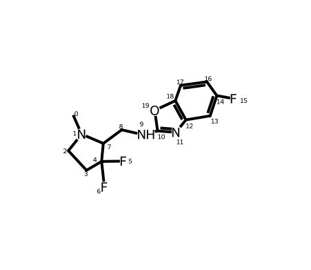 CN1CCC(F)(F)C1CNc1nc2cc(F)ccc2o1